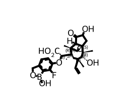 C=C[C@]1(C)C[C@@H]([C@H](Oc2ccc3c(c2F)B(O)OC3)C(=O)O)[C@@]2(C)[C@H](C)CC[C@]3(CC(O)C(=O)[C@H]32)[C@@H](C)[C@@H]1O